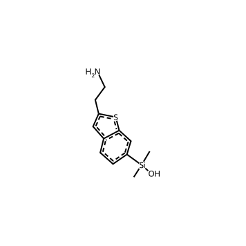 C[Si](C)(O)c1ccc2cc(CCN)sc2c1